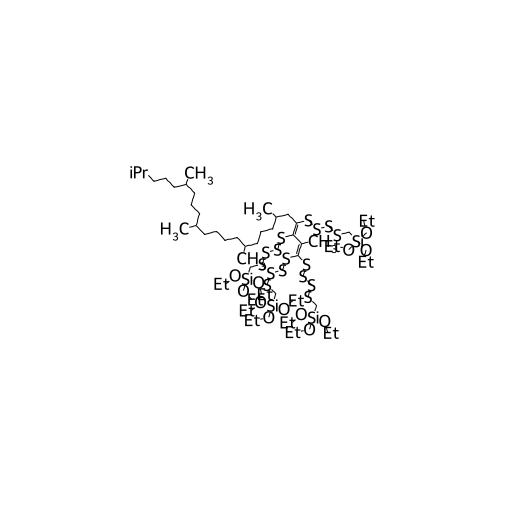 CCO[Si](CSSSSC(CC(C)CCCC(C)CCCCC(C)CCCC(C)CCCC(C)C)=C(SSSSC[Si](OCC)(OCC)OCC)C(C)=C(SSSSC[Si](OCC)(OCC)OCC)SSSSC[Si](OCC)(OCC)OCC)(OCC)OCC